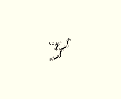 CC(C)[O][AlH][O]C(C)C.CCOC(C)=O